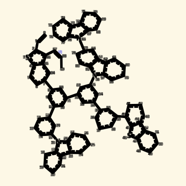 C=Cc1sc2ccc(-c3cc(-c4cccc(-n5c6ccccc6c6ccccc65)c4)cc(-c4cc(-c5cccc(-c6cccc7c6sc6ccccc67)c5)cc(-n5c6ccccc6c6cc(-n7c8ccccc8c8ccccc87)ccc65)c4)c3)cc2c1/C=C\C